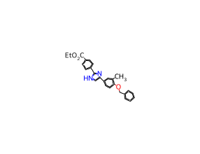 CCOC(=O)c1ccc(-c2nc(-c3ccc(OCc4ccccc4)c(C)c3)c[nH]2)cc1